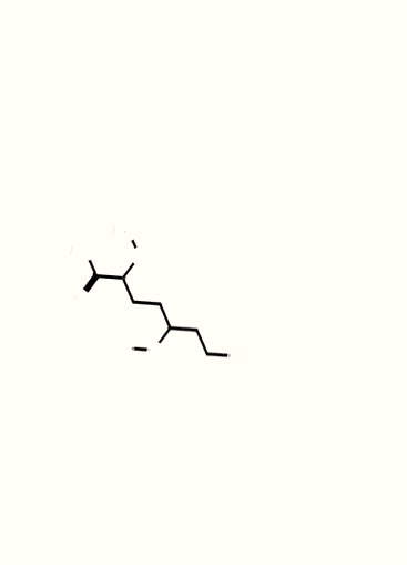 CCCC(CCC(OO)C(=O)O)OO